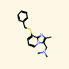 Cc1nc2c(SCc3ccccc3)cccn2c1CN(C)C